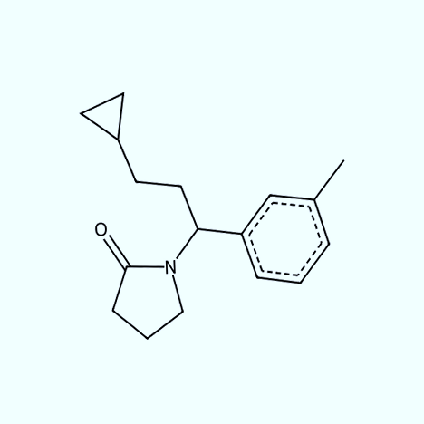 Cc1cccc(C(CCC2CC2)N2CCCC2=O)c1